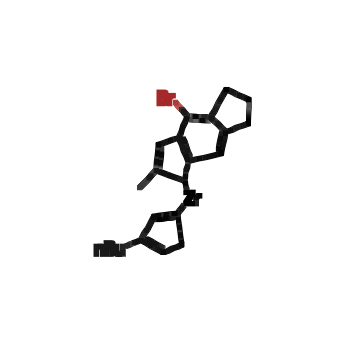 CCCCC1=CC[C]([Zr][CH]2C(C)=Cc3c2cc2c(c3Br)CCC2)=C1